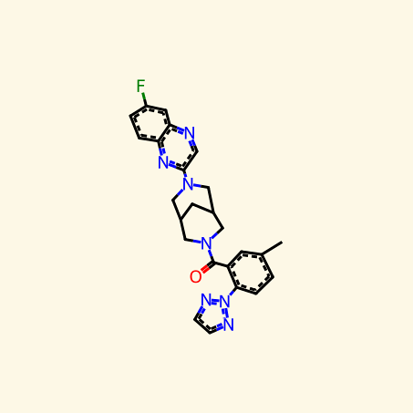 Cc1ccc(-n2nccn2)c(C(=O)N2CC3CC(C2)CN(c2cnc4cc(F)ccc4n2)C3)c1